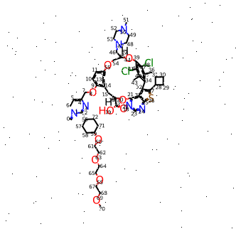 C=N/C(=N\C(=C/C)COc1ccc2cc1C[C@H](C(=O)O)Oc1ncnc3sc(C4CCC4)c(c13)-c1c(C)c(Cl)c(c(Cl)c1C)O[C@H](CN1CCN(C)CC1)CO2)[C@H]1CC[C@H](OCCOCCOCCOC)CC1